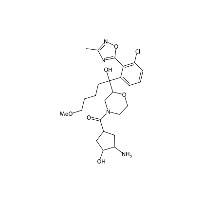 COCCCCC(O)(c1cccc(Cl)c1-c1nc(C)no1)C1CN(C(=O)C2CC(N)C(O)C2)CCO1